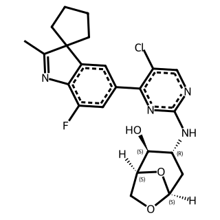 CC1=Nc2c(F)cc(-c3nc(N[C@@H]4C[C@H]5OC[C@H](O5)[C@H]4O)ncc3Cl)cc2C12CCCC2